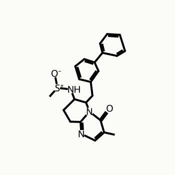 Cc1cnc2n(c1=O)C(Cc1cccc(-c3ccccc3)c1)C(N[S+](C)[O-])CC2